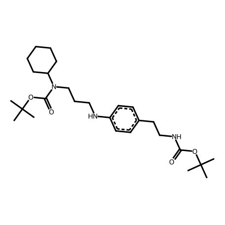 CC(C)(C)OC(=O)NCCc1ccc(NCCCN(C(=O)OC(C)(C)C)C2CCCCC2)cc1